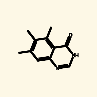 Cc1cc2nc[nH]c(=O)c2c(C)c1C